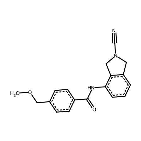 COCc1ccc(C(=O)Nc2cccc3c2CN(C#N)C3)cc1